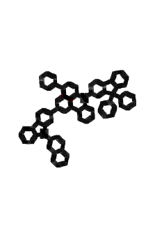 c1ccc(-c2ccc(N(c3ccc4c(c3)C(c3ccccc3)(c3ccccc3)c3ccccc3-4)c3ccccc3-c3cccc(-c4ccc5c6ccccc6n(-c6ccc7ccccc7c6)c5c4)c3)cc2)cc1